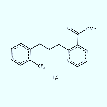 COC(=O)c1cccnc1CSCc1ccccc1C(F)(F)F.S